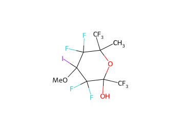 COC1(I)C(F)(F)C(C)(C(F)(F)F)OC(O)(C(F)(F)F)C1(F)F